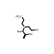 C=C(O)CN(CCO)CCC(=O)O.[NaH]